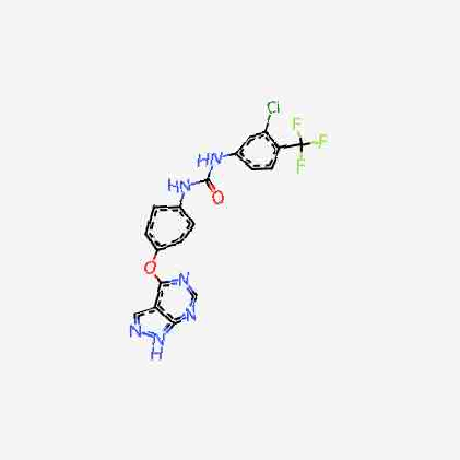 O=C(Nc1ccc(Oc2ncnc3[nH]ncc23)cc1)Nc1ccc(C(F)(F)F)c(Cl)c1